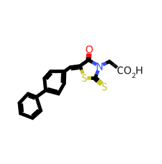 O=C(O)CN1C(=O)C(=Cc2ccc(-c3ccccc3)cc2)SC1=S